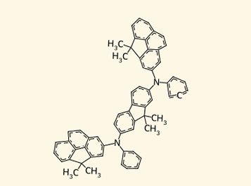 CC1(C)c2cc(N(c3ccccc3)c3cc4c5c(ccc6cccc(c65)C4(C)C)c3)ccc2-c2ccc(N(c3ccccc3)c3cc4c5c(ccc6cccc(c65)C4(C)C)c3)cc21